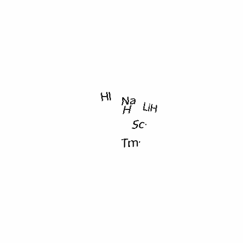 I.[LiH].[NaH].[Sc].[Tm]